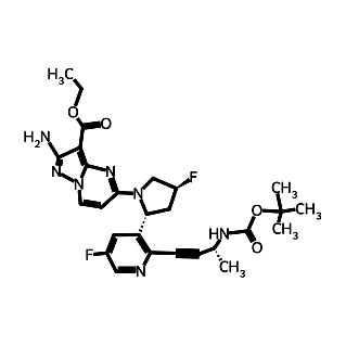 CCOC(=O)c1c(N)nn2ccc(N3C[C@@H](F)C[C@@H]3c3cc(F)cnc3C#C[C@@H](C)NC(=O)OC(C)(C)C)nc12